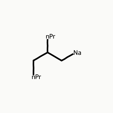 CCCCC([CH2][Na])CCC